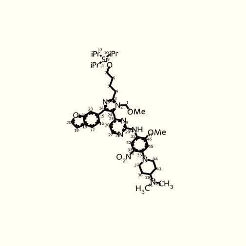 COCn1c(CCCCO[Si](C(C)C)(C(C)C)C(C)C)nc(-c2ccc3ccoc3c2)c1-c1ccnc(Nc2cc([N+](=O)[O-])c(N3CCC(N(C)C)CC3)cc2OC)n1